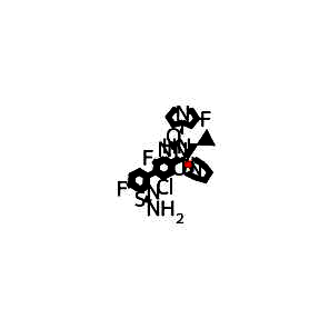 Nc1nc2c(-c3c(Cl)cc4c(N5CC6CCC(C5)N6C(=O)[C@@H]5N[C@@H]5C5CC5)nc(OC[C@@]56CCCN5C[C@H](F)C6)nc4c3F)ccc(F)c2s1